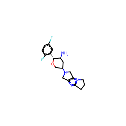 N[C@H]1C[C@@H](N2Cc3nc4n(c3C2)CCC4)CO[C@@H]1c1cc(F)ccc1F